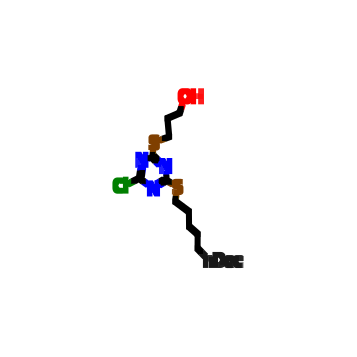 CCCCCCCCCCCCCCCSc1nc(Cl)nc(SCCCO)n1